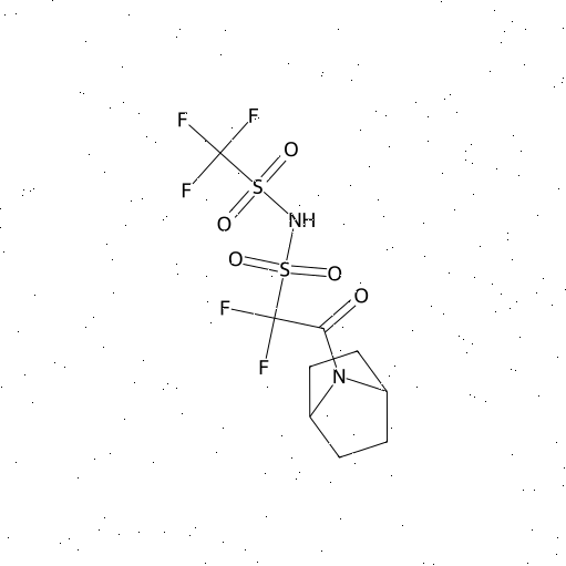 O=C(N1C2CCC1CC2)C(F)(F)S(=O)(=O)NS(=O)(=O)C(F)(F)F